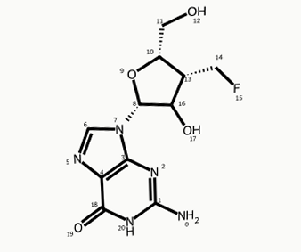 Nc1nc2c(ncn2[C@@H]2O[C@H](CO)[C@H](CF)C2O)c(=O)[nH]1